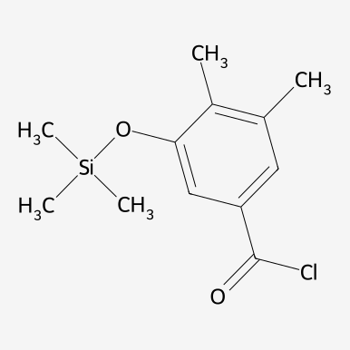 Cc1cc(C(=O)Cl)cc(O[Si](C)(C)C)c1C